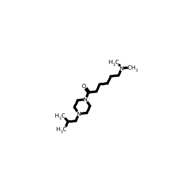 CC(C)CN1CCN(C(=O)CCCCCN(C)C)CC1